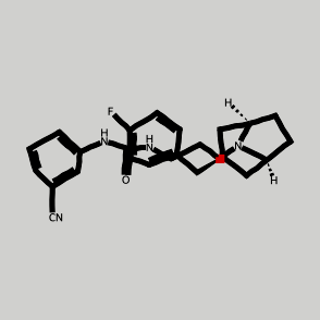 N#Cc1cccc(NC(=O)NCCCN2[C@@H]3CC[C@H]2C[C@@H](Cc2ccc(F)cc2)C3)c1